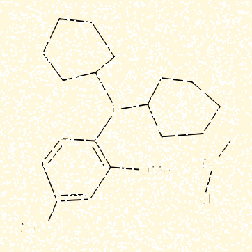 COc1ccc(P(C2CCCCC2)C2CCCCC2)c(OC)c1.[CH3][Pd][Cl]